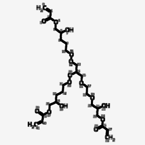 C=CC(=O)OCC(O)CCCOOCC(COCCOCC(O)COC(=O)C=C)OOCCCC(O)COC(=O)C=C